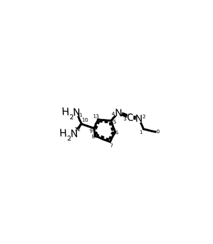 CCN=C=Nc1cccc(C(N)N)c1